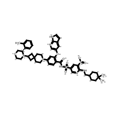 Cc1ccccc1[C@@H]1COCCN1C1CC2(CCN(c3ccc(C(=O)NS(=O)(=O)c4cnc(NCC5CCC(C)(C)CC5)c([N+](=O)[O-])c4)c(Oc4cnc5[nH]ccc5c4)c3)CC2)C1